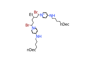 CCCCCCCCCCCCCCNc1cc[n+](C(Br)CCC(CC)CC(Br)[n+]2ccc(NCCCCCCCCCCCCCC)cc2)cc1